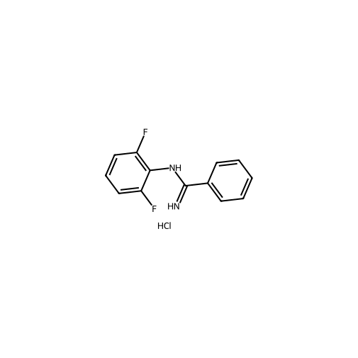 Cl.N=C(Nc1c(F)cccc1F)c1ccccc1